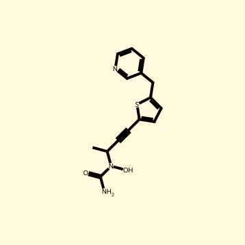 CC(C#Cc1ccc(Cc2cccnc2)s1)N(O)C(N)=O